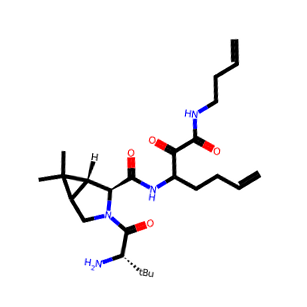 C=CCCNC(=O)C(=O)C(CCC=C)NC(=O)[C@@H]1[C@@H]2C(CN1C(=O)[C@@H](N)C(C)(C)C)C2(C)C